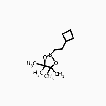 CC1(C)OB(CCC2CCC2)OC1(C)C